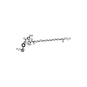 Cc1ncsc1-c1ccc(CNC(=O)[C@@H]2C[C@@H](O)CN2C(=O)C(NC(=O)COCCOCCOCCOCCOCCOCCNC(=O)O)C(C)(C)C)cc1